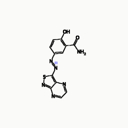 NC(=O)c1cc(/N=N/c2snc3nccnc23)ccc1O